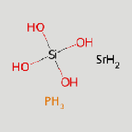 O[Si](O)(O)O.P.[SrH2]